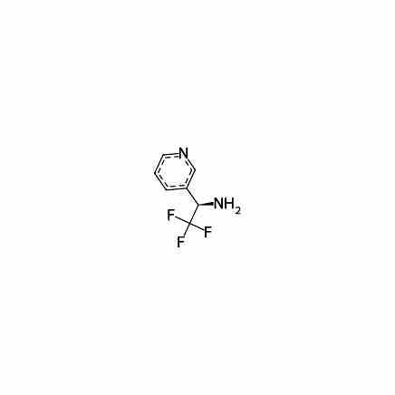 N[C@H](c1cccnc1)C(F)(F)F